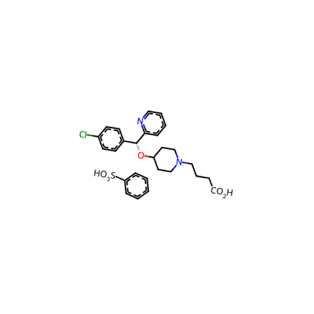 O=C(O)CCCN1CCC(O[C@H](c2ccc(Cl)cc2)c2ccccn2)CC1.O=S(=O)(O)c1ccccc1